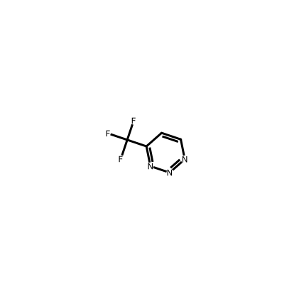 FC(F)(F)c1ccnnn1